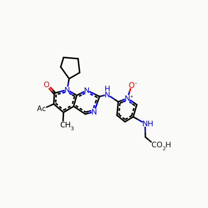 CC(=O)c1c(C)c2cnc(Nc3ccc(NCC(=O)O)c[n+]3[O-])nc2n(C2CCCC2)c1=O